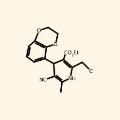 CCOC(=O)C1=C(CCl)NC(C)=C(C#N)C1c1cccc2c1OCCO2